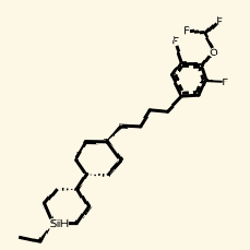 CC[Si@H]1CC[C@H]([C@H]2CC[C@H](CCCCc3cc(F)c(OC(F)F)c(F)c3)CC2)CC1